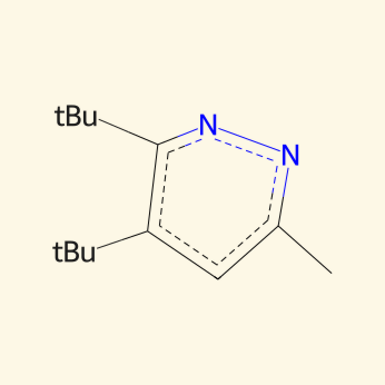 Cc1cc(C(C)(C)C)c(C(C)(C)C)nn1